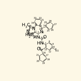 C=C1C(NC(=O)Nc2ccc(I)cc2C(=O)c2ccccc2)N=C(c2ccccc2)c2ccccc2N1/C(C)=N\N